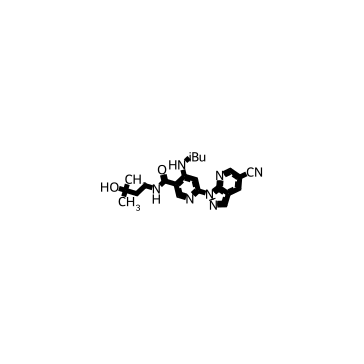 CCC(C)Nc1cc(-n2ncc3cc(C#N)cnc32)ncc1C(=O)NCCC(C)(C)O